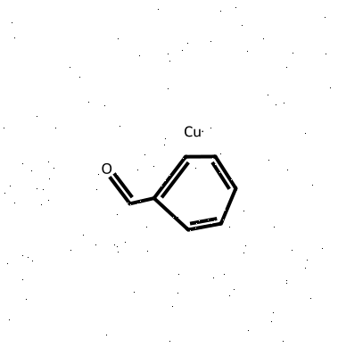 O=Cc1ccccc1.[Cu]